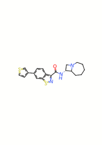 O=C(N[C@@H]1CN2CCCCCC12)c1nsc2cc(-c3ccsc3)ccc12